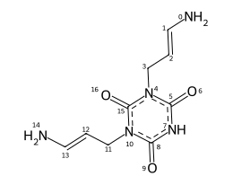 NC=CCn1c(=O)[nH]c(=O)n(CC=CN)c1=O